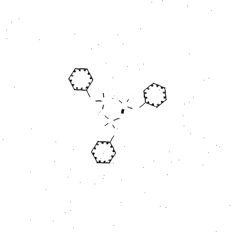 CC(C)COP1(Oc2ccccc2)=N[PH](OCC(C)C)(Oc2ccccc2)N[PH](OCC(C)C)(Oc2ccccc2)N1